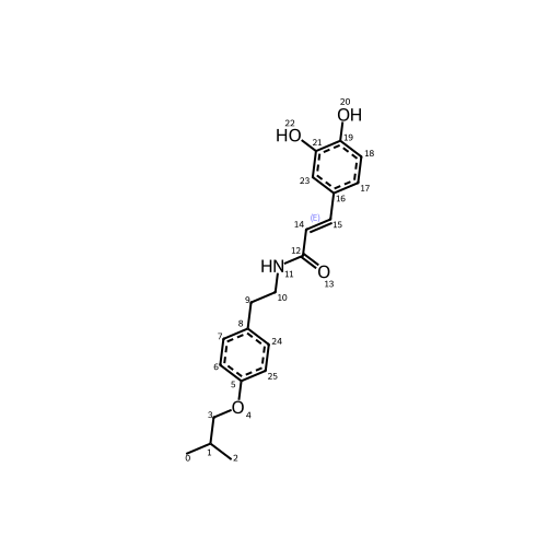 CC(C)COc1ccc(CCNC(=O)/C=C/c2ccc(O)c(O)c2)cc1